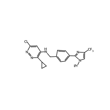 CC(C)n1cc(C(F)(F)F)nc1-c1ccc(CNc2cc(Cl)nnc2C2CC2)cc1